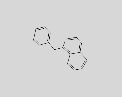 [c]1cccc2c(Cc3ccccn3)nccc12